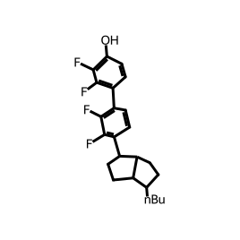 CCCCC1CCC2C(c3ccc(-c4ccc(O)c(F)c4F)c(F)c3F)CCC12